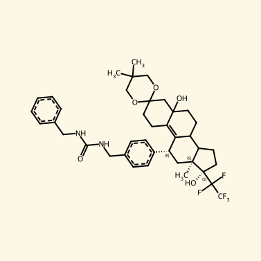 CC1(C)COC2(CCC3=C4C(CCC3(O)C2)C2CC[C@@](O)(C(F)(F)C(F)(F)F)[C@@]2(C)C[C@@H]4c2ccc(CNC(=O)NCc3ccccc3)cc2)OC1